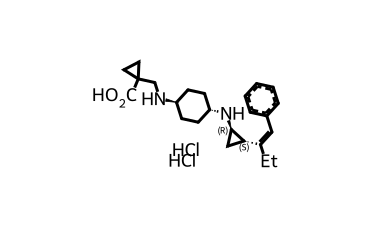 CCC(=Cc1ccccc1)[C@@H]1C[C@H]1N[C@H]1CC[C@H](NCC2(C(=O)O)CC2)CC1.Cl.Cl